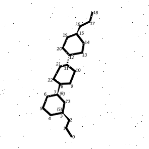 CCC[C@H]1CCC[C@@H](C2CCC([C@H]3CC[C@H](CCC)CC3)CC2)C1